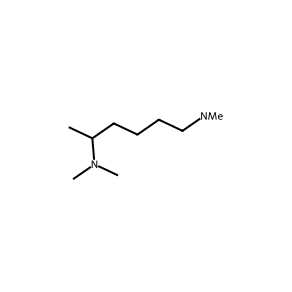 CNCCCCC(C)N(C)C